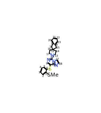 CSc1ccccc1Sc1cnc(N2CCC3(CC2)Cc2ccccc2C3)n2ccnc12